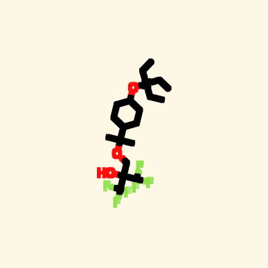 CC[Si](CC)(CC)OC1CCC(C(C)(C)OCC(O)(C(F)(F)F)C(F)(F)F)CC1